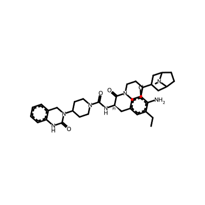 CCc1cc(C[C@@H](NC(=O)N2CCC(N3Cc4ccccc4NC3=O)CC2)C(=O)N2CCC(C3CC4CCC(C3)N4C)CC2)cc(Cl)c1N